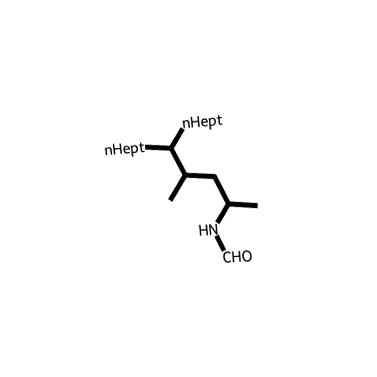 CCCCCCCC(CCCCCCC)C(C)CC(C)NC=O